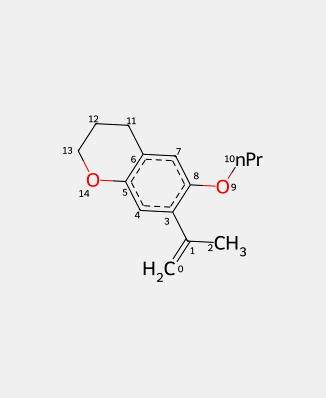 C=C(C)c1cc2c(cc1OCCC)CCCO2